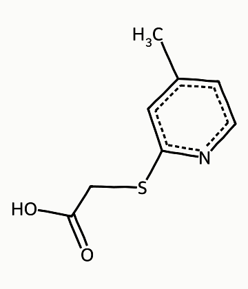 Cc1ccnc(SCC(=O)O)c1